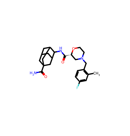 Cc1cc(F)ccc1CN1CCO[C@@H](C(=O)NC2C3CC4CC2CC(C(N)=O)(C4)C3)C1